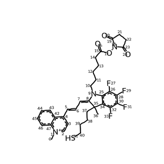 C[n+]1ccc(C=CC=C2N(CCCCCC(=O)ON3C(=O)CCC3=O)c3c(F)c(F)c(F)c(F)c3C2(C)CCCCS)c2ccccc21